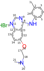 Br.Cc1cccc(Nc2ncnc3ccc(OCCN(C)C)cc23)c1